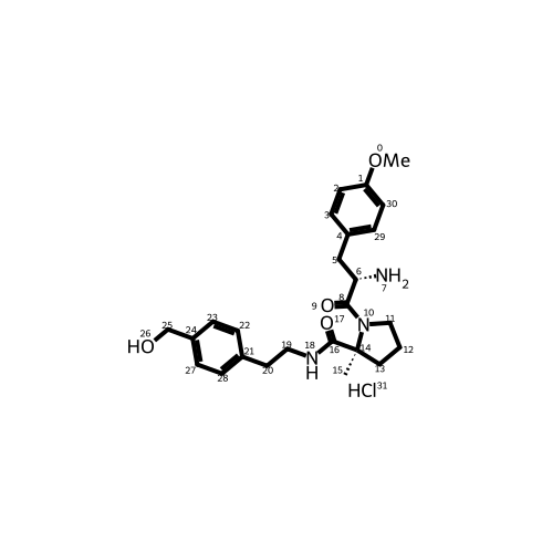 COc1ccc(C[C@H](N)C(=O)N2CCC[C@@]2(C)C(=O)NCCc2ccc(CO)cc2)cc1.Cl